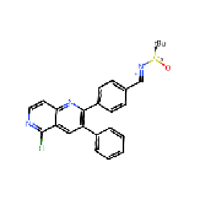 CC(C)(C)[S@@+]([O-])/N=C/c1ccc(-c2nc3ccnc(Cl)c3cc2-c2ccccc2)cc1